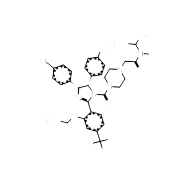 CCOc1cc(C(F)(F)F)ccc1C1=N[C@@H](c2ccc(Cl)cc2)[C@@H](c2ccc(Cl)cc2)N1C(=O)N1CCN(CC(=O)N(C)C(C)C)CC1